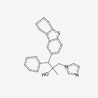 CC(O)(Cn1ccnc1)C(c1ccccc1)c1ccc2sc3ccccc3c2c1